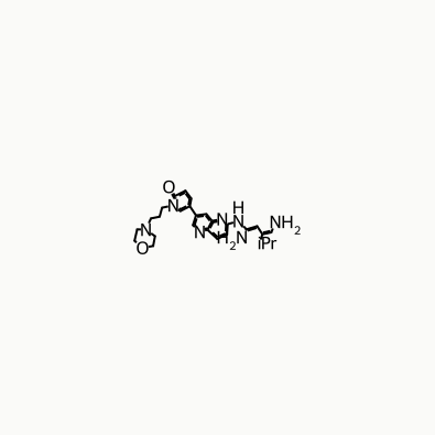 CC(C)C(=C/N)/C=C(\N)Nc1ccc2ncc(-c3ccc(=O)n(CCCN4CCOCC4)c3)cc2n1